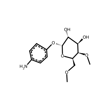 COC[C@H]1O[C@H](Oc2ccc(N)cc2)[C@H](O)[C@@H](O)[C@H]1OC